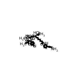 CCC[C@@H](CCCCCCC(=O)Nc1cccc(C#CCN)c1)NC(=O)CC1N=C(c2ccc(Cl)cc2)c2c(sc(C)c2C)-n2c(C)nnc21.Cl